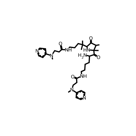 CC1C(=O)C(C(C)(C)CCCNC(=O)CCN(C)c2ccncc2)NC1(C)C(=O)C(N)CCCCNC(=O)CCN(C)c1ccncc1